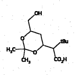 CC1(C)OC(CO)CC(C(C(=O)O)C(C)(C)C)O1